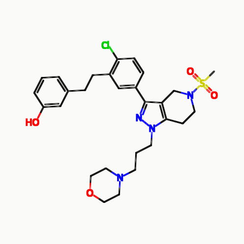 CS(=O)(=O)N1CCc2c(c(-c3ccc(Cl)c(CCc4cccc(O)c4)c3)nn2CCCN2CCOCC2)C1